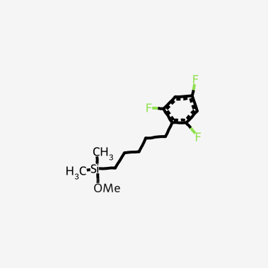 CO[Si](C)(C)CCCCCc1c(F)cc(F)cc1F